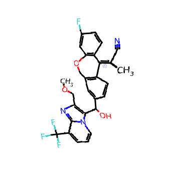 COCc1nc2c(C(F)(F)F)cccn2c1C(O)c1ccc2c(c1)COc1cc(F)ccc1/C2=C(/C)C#N